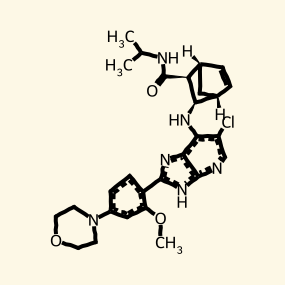 COc1cc(N2CCOCC2)ccc1-c1nc2c(N[C@H]3[C@@H](C(=O)NC(C)C)[C@@H]4C=C[C@H]3C4)c(Cl)cnc2[nH]1